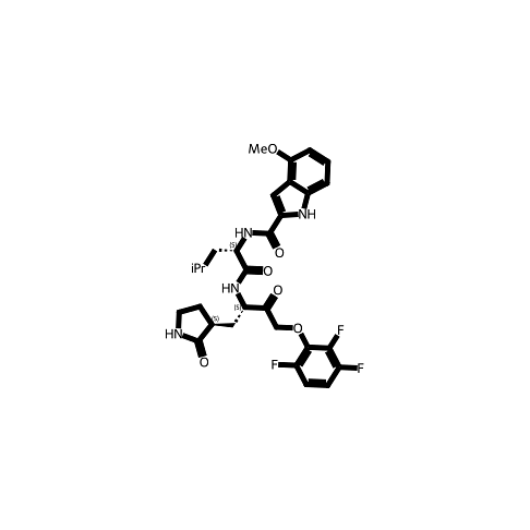 COc1cccc2[nH]c(C(=O)N[C@@H](CC(C)C)C(=O)N[C@@H](C[C@@H]3CCNC3=O)C(=O)COc3c(F)ccc(F)c3F)cc12